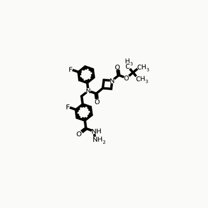 CC(C)(C)OC(=O)N1CC(C(=O)N(Cc2ccc(C(=O)NN)cc2F)c2cccc(F)c2)C1